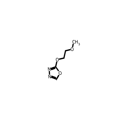 COCCOc1nn[c]o1